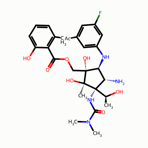 CC(=O)c1cc(F)cc(N[C@H]2[C@H](N)[C@@](NC(=O)N(C)C)([C@H](C)O)[C@@](C)(O)[C@@]2(O)COC(=O)c2c(C)cccc2O)c1